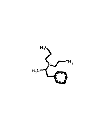 CCCN(CCC)C(C)Cc1ccccc1